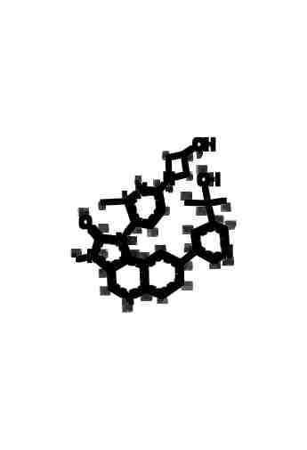 Cc1nc(N2CC(O)C2)ccc1-n1c(=O)n(C)c2cnc3ccc(-c4cncc(C(C)(C)O)c4)cc3c21